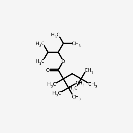 CC(C)C(OC(=O)C(C)(CC(C)(C)C)C(C)(C)C)C(C)C